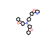 c1ccc2c(c1)oc1ccc(N(c3ccc(-c4ccc5oc6cccnc6c5c4)cc3)c3ccc4oc5ccccc5c4c3)cc12